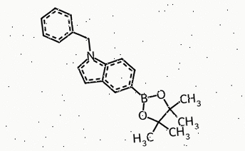 CC1(C)OB(c2ccc3c(ccn3Cc3ccccc3)c2)OC1(C)C